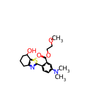 COCCOC(=O)c1cc(N(C)C)ccc1-c1nc2c(s1)C(O)CCC2